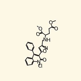 COC(=O)CCC(NCc1cc(-c2c(-c3ccccc3)c3ccccc3n(Cl)c2=O)on1)C(=O)OC